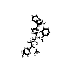 COc1cccc(OC)c1-n1c(NS(=O)(=O)C(C)C(OC(C)C)c2ncc(C)cn2)nnc1-c1cnn2c1CCC2